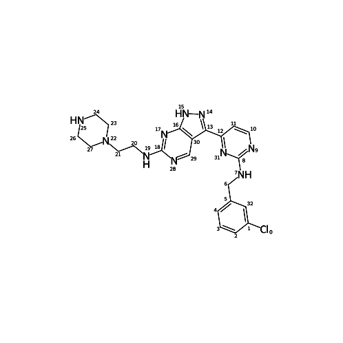 Clc1cccc(CNc2nccc(-c3n[nH]c4nc(NCCN5CCNCC5)ncc34)n2)c1